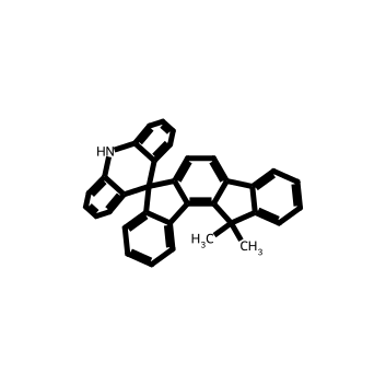 CC1(C)c2ccccc2-c2ccc3c(c21)-c1ccccc1C31c2ccccc2Nc2ccccc21